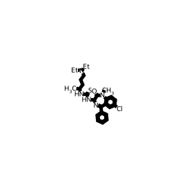 CCN(CC)CCCC(C)NC(=S)NC1N=C(c2ccccc2)c2cc(Cl)ccc2N(C)C1=O